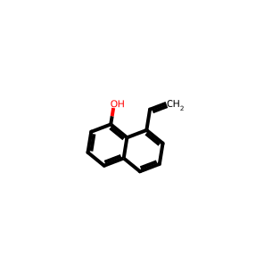 C=Cc1cccc2cccc(O)c12